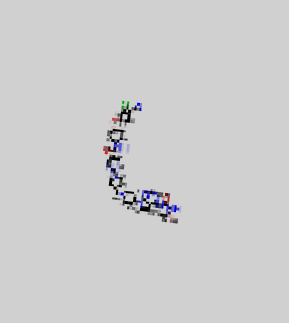 N#Cc1ccc(O[C@H]2CC[C@H](NC(=O)c3cnc(N4CCC(CN5CCC(n6ccc7c(N8CCC(=O)NC8=O)ncnc76)CC5)CC4)nc3)CC2)cc1Cl